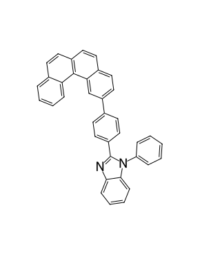 c1ccc(-n2c(-c3ccc(-c4ccc5ccc6ccc7ccccc7c6c5c4)cc3)nc3ccccc32)cc1